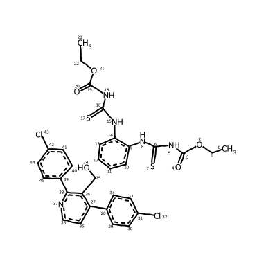 CCOC(=O)NC(=S)Nc1ccccc1NC(=S)NC(=O)OCC.OCc1c(-c2ccc(Cl)cc2)ccnc1-c1ccc(Cl)cc1